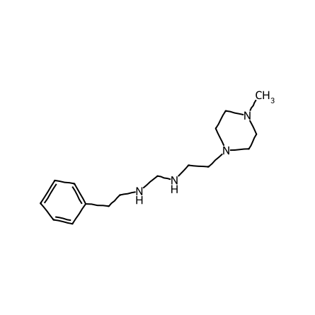 CN1CCN(CCNCNCCc2ccccc2)CC1